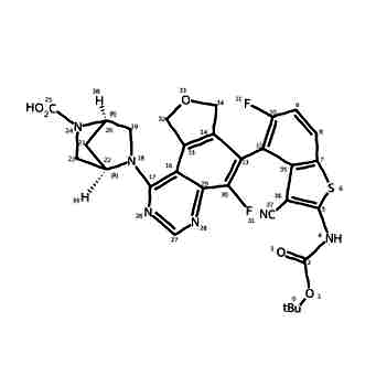 CC(C)(C)OC(=O)Nc1sc2ccc(F)c(-c3c4c(c5c(N6C[C@H]7C[C@@H]6CN7C(=O)O)ncnc5c3F)COC4)c2c1C#N